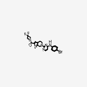 Cn1c(C(=O)N2CC(F)(F)C2)cc2c1CN(c1nccc(Nc3ccc(Br)cc3)n1)CC2